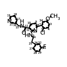 COc1ccc(Cl)c(-c2ccc(C(=O)NCc3cccnc3)c(NCCc3cccc(F)c3)n2)c1